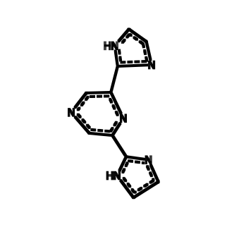 c1c[nH]c(-c2cncc(-c3ncc[nH]3)n2)n1